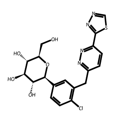 OC[C@H]1O[C@@H](c2ccc(Cl)c(Cc3ccc(-c4nncs4)nn3)c2)[C@H](O)[C@@H](O)[C@@H]1O